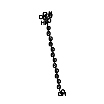 CN1C(=O)C[C@H](C(=O)NCCOCCOCCOCCOCCOCCOCCOCCOCCOCCOCCOCCOCCC(=O)O)[C@H]1c1cccnc1